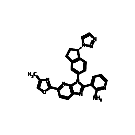 Cc1coc(-c2ccc3nc(-c4cccnc4N)n(-c4ccc5c(c4)CC[C@@H]5n4ccnn4)c3n2)n1